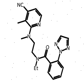 CCN(CCN(C)c1nccc(C#N)c1C)C(=O)c1ccccc1-n1nccn1